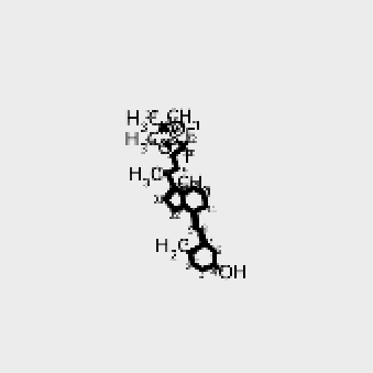 C=C1CCC(O)C/C1=C/C=C1\CCCC2(C)C(C(C)CCC(F)(F)S(=O)(=O)C(C)(C)C)=CCC12